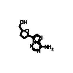 Nc1ncnn2c(C3CCC(CO)O3)cnc12